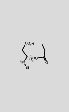 C.CCC(=O)O.CCNCCC(=O)O